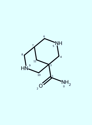 NC(=O)C12CNCC(CNC1)C2